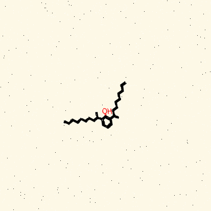 CCCCCCCCC(C)c1cccc(C(C)CCCCCCCC)c1O